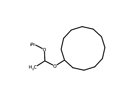 CC(C)OC(C)OC1CCCCCCCCCCC1